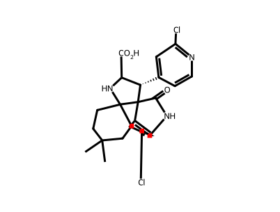 CC1(C)CCC2(CC1)NC(C(=O)O)[C@H](c1ccnc(Cl)c1)C21C(=O)Nc2cc(Cl)ccc21